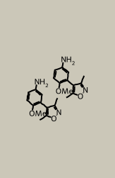 COc1ccc(N)cc1-c1c(C)noc1C.COc1ccc(N)cc1-c1c(C)noc1C